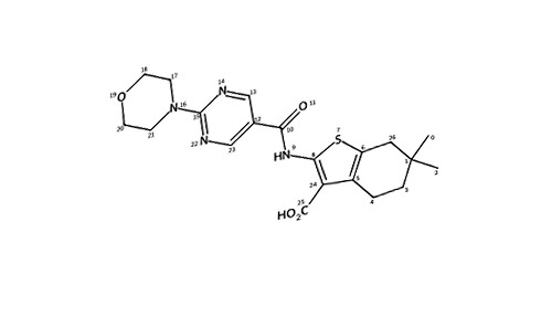 CC1(C)CCc2c(sc(NC(=O)c3cnc(N4CCOCC4)nc3)c2C(=O)O)C1